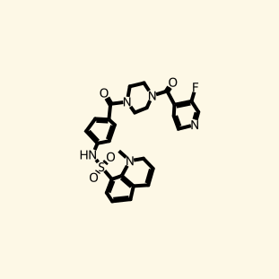 CN1CC=Cc2cccc(S(=O)(=O)Nc3ccc(C(=O)N4CCN(C(=O)c5ccncc5F)CC4)cc3)c21